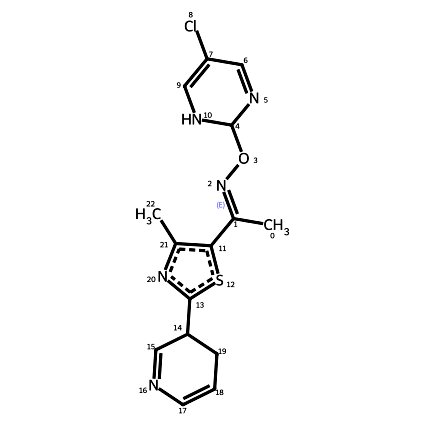 C/C(=N\OC1N=CC(Cl)=CN1)c1sc(C2C=NC=CC2)nc1C